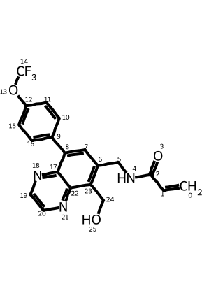 C=CC(=O)NCc1cc(-c2ccc(OC(F)(F)F)cc2)c2nccnc2c1CO